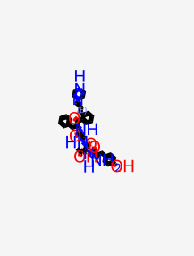 CC(O)[C@@H](NC(=O)C(N)Cc1ccc(O)cc1)C(=O)NCC(=O)NC(Cc1ccccc1)C(=O)c1ccccc1/C=C/CN1CCNCC1